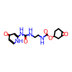 O=C(NCCNC(=O)OC1CCC2OC2C1)Nc1cc(=O)cc[nH]1